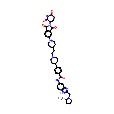 C[C@H]1CCCN1Cc1nc2cc(NC(=O)c3ccc(C4CCN(CCC5CCN(c6ccc7c(c6)C(=O)N(C6CCC(=O)NC6=O)C7=O)CC5)CC4)cc3)ccc2[nH]1